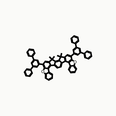 CC1(C)c2cc(-c3cc(-c4ccccc4)cc(-c4ccccc4)c3)c3oc4ccccc4c3c2-c2ccc3c(c21)C(C)(C)c1cc(-c2cc(-c4ccccc4)cc(-c4ccccc4)c2)c2oc4ccccc4c2c1-3